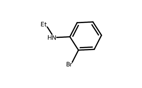 CCNc1ccccc1Br